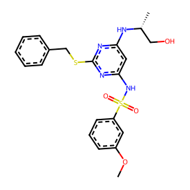 COc1cccc(S(=O)(=O)Nc2cc(N[C@H](C)CO)nc(SCc3ccccc3)n2)c1